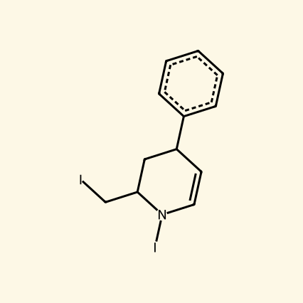 ICC1CC(c2ccccc2)C=CN1I